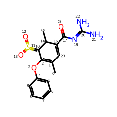 CC1=C(Oc2ccccc2)C(=S(=O)=O)C(C)C(C(=O)N=C(N)N)=C1